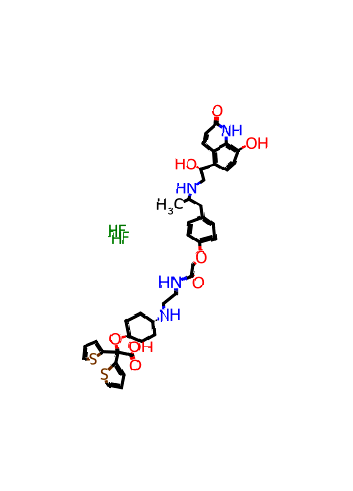 CC(Cc1ccc(OCC(=O)NCCN[C@H]2CC[C@H](OC(C(=O)O)(c3cccs3)c3cccs3)CC2)cc1)NC[C@H](O)c1ccc(O)c2[nH]c(=O)ccc12.F.F